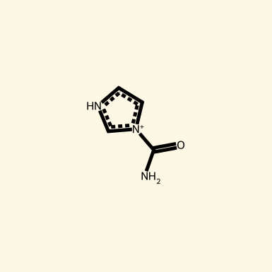 NC(=O)[n+]1cc[nH]c1